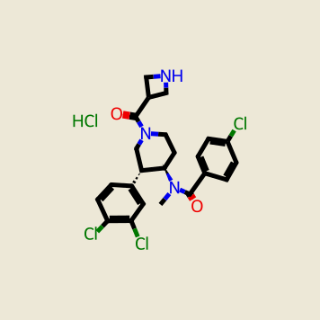 CN(C(=O)c1ccc(Cl)cc1)[C@@H]1CCN(C(=O)C2CNC2)C[C@H]1c1ccc(Cl)c(Cl)c1.Cl